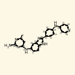 Cc1cc(Nc2ccc3[nH]c(-c4ccc(Nc5ccncc5)cc4)nc3c2)nc(N)n1